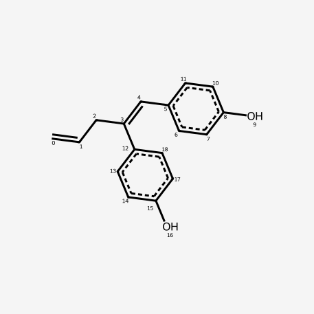 C=CC/C(=C/c1ccc(O)cc1)c1ccc(O)cc1